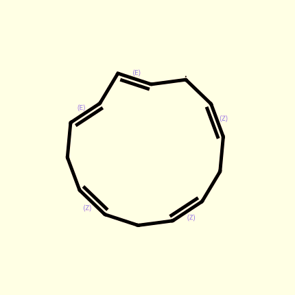 [CH]1/C=C\C/C=C\C/C=C\C/C=C/C=C/1